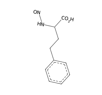 O=NNC(CCc1ccccc1)C(=O)O